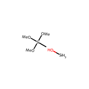 CO[Si](C)(OC)OC.O[SiH3]